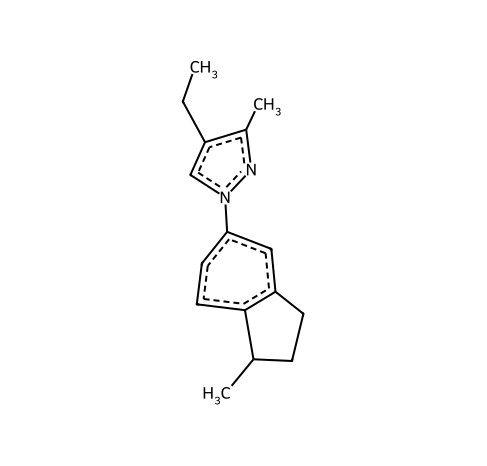 CCc1cn(-c2ccc3c(c2)CCC3C)nc1C